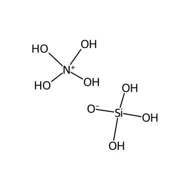 O[N+](O)(O)O.[O-][Si](O)(O)O